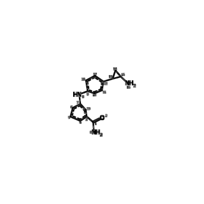 NC(=O)c1cccc(Nc2ccc(C3CC3N)cc2)c1